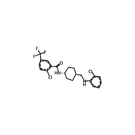 O=C(N[C@H]1CC[C@H](CNc2ccccc2Cl)CC1)c1cc(C(F)(F)F)ccc1Cl